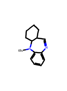 CC(C)(C)N1c2ccccc2N=CC2CCCCC21